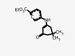 CCOC(=O)c1ccc(NC2=CC(=O)CC(C)(C)C2)cc1